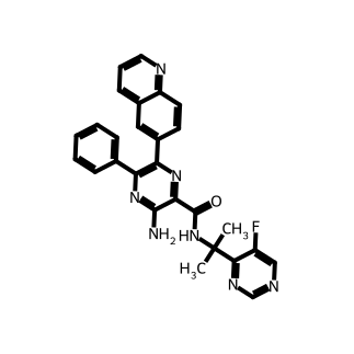 CC(C)(NC(=O)c1nc(-c2ccc3ncccc3c2)c(-c2ccccc2)nc1N)c1ncncc1F